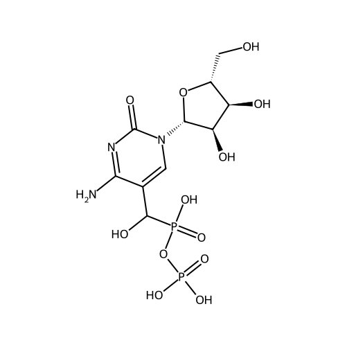 Nc1nc(=O)n([C@@H]2O[C@H](CO)[C@@H](O)[C@H]2O)cc1C(O)P(=O)(O)OP(=O)(O)O